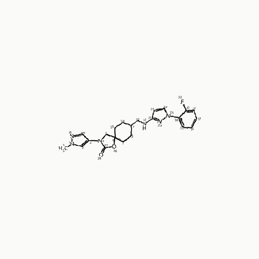 Cn1cc(N2CC3(CCC(CNc4ccn(-c5ccccc5F)n4)CC3)OC2=O)cn1